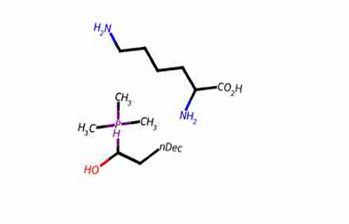 CCCCCCCCCCCC(O)[PH](C)(C)C.NCCCCC(N)C(=O)O